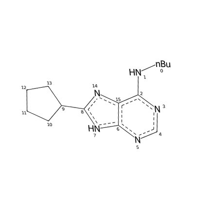 CCCCNc1ncnc2[nH]c(C3CCCC3)nc12